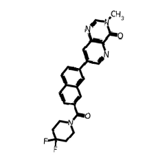 Cn1cnc2cc(-c3ccc4ccc(C(=O)N5CCC(F)(F)CC5)cc4c3)cnc2c1=O